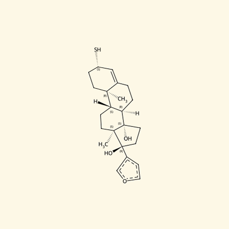 C[C@]12CC[C@H]3[C@@H](CCC4=C[C@@H](S)CC[C@@]43C)[C@@]1(O)CC[C@]2(O)c1ccoc1